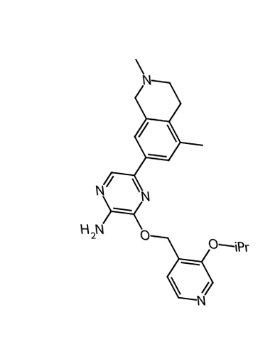 Cc1cc(-c2cnc(N)c(OCc3ccncc3OC(C)C)n2)cc2c1CCN(C)C2